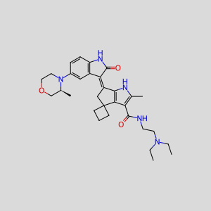 CCN(CC)CCNC(=O)c1c(C)[nH]c2c1C1(CCC1)C/C2=C1/C(=O)Nc2ccc(N3CCOC[C@@H]3C)cc21